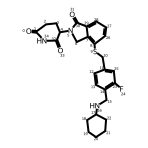 O=C1CCC(N2Cc3c(SCc4ccc(CNC5CCCCC5)c(F)c4)cccc3C2=O)C(=O)N1